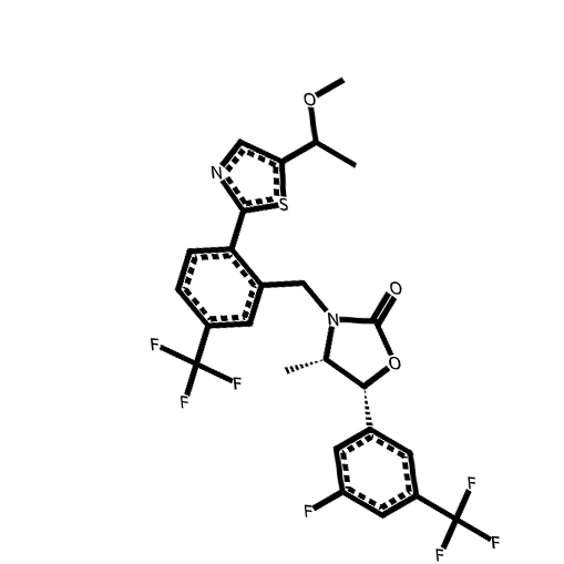 COC(C)c1cnc(-c2ccc(C(F)(F)F)cc2CN2C(=O)O[C@H](c3cc(F)cc(C(F)(F)F)c3)[C@@H]2C)s1